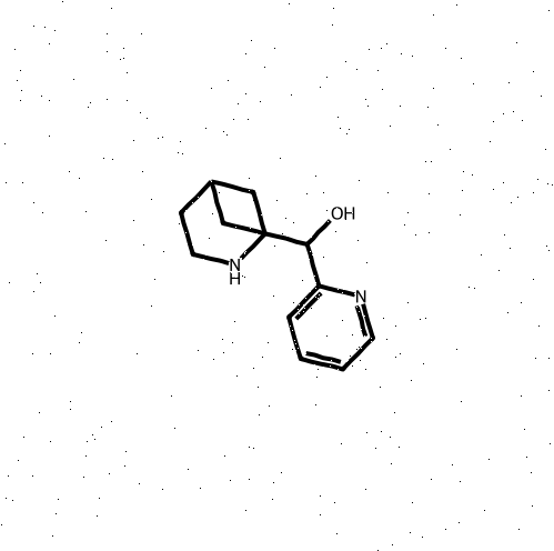 OC(c1ccccn1)C12CC(CCN1)C2